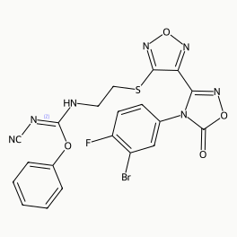 N#C/N=C(/NCCSc1nonc1-c1noc(=O)n1-c1ccc(F)c(Br)c1)Oc1ccccc1